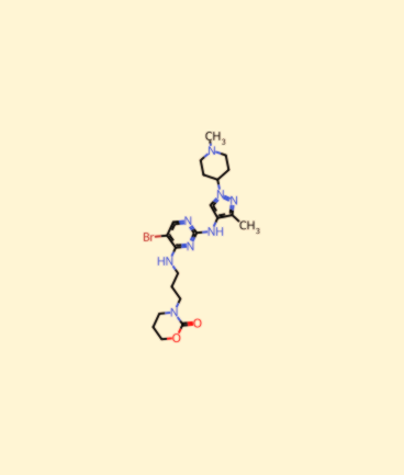 Cc1nn(C2CCN(C)CC2)cc1Nc1ncc(Br)c(NCCCN2CCCOC2=O)n1